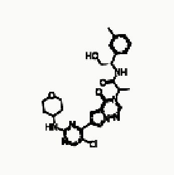 Cc1cccc([C@@H](CO)NC(=O)C(C)n2cnn3cc(-c4nc(NC5CCOCC5)ncc4Cl)cc3c2=O)c1